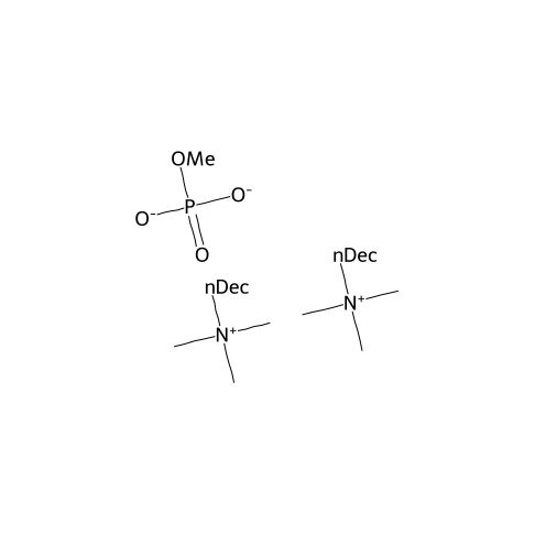 CCCCCCCCCC[N+](C)(C)C.CCCCCCCCCC[N+](C)(C)C.COP(=O)([O-])[O-]